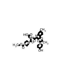 CCOC(=O)N1CCN(C(=O)[C@H](CC(=O)O)NC(=O)c2cc(O[C@@H](C)C(=O)N3CCC(O)CC3)c3ccc(C)cc3n2)CC1